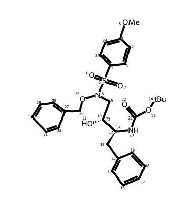 COc1ccc(S(=O)(=O)N(C[C@@H](O)[C@H](Cc2ccccc2)NC(=O)OC(C)(C)C)OCc2ccccc2)cc1